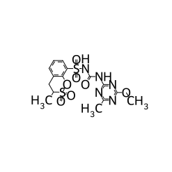 COc1nc(C)nc(NC(=O)NS(=O)(=O)c2cccc3c2OS(=O)(=O)C(C)C3)n1